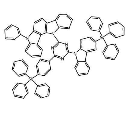 c1ccc(-n2c3ccccc3c3c2ccc2c4ccccc4n(-c4nc(-c5ccc([Si](c6ccccc6)(c6ccccc6)c6ccccc6)cc5)nc(-n5c6ccccc6c6cc([Si](c7ccccc7)(c7ccccc7)c7ccccc7)ccc65)n4)c23)cc1